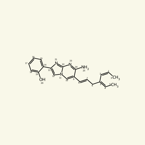 C/C=C\C(=C/C)C/C=C/c1cn2cc(-c3ccccc3O)nc2nc1N